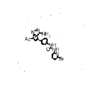 CC(=O)c1cc(-c2ccc(NC(=O)Nc3cccc(Br)n3)cc2)c2c(N)ncnn12